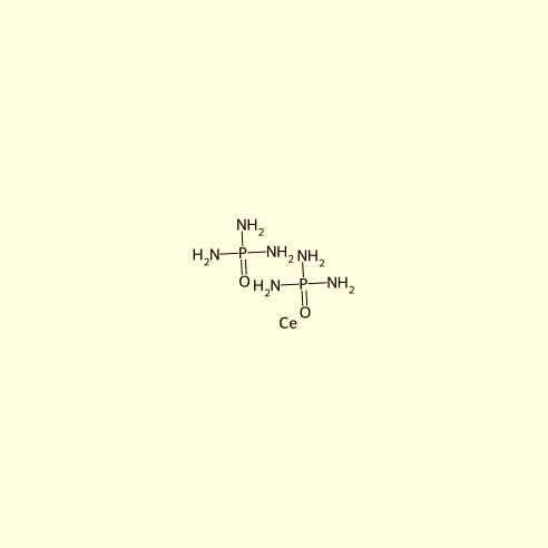 NP(N)(N)=O.NP(N)(N)=O.[Ce]